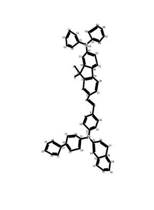 CC1(C)c2cc(/C=C/c3ccc(N(c4ccc(-c5ccccc5)cc4)c4ccc5ccccc5c4)cc3)ccc2-c2ccc(N(c3ccccc3)c3ccccc3)cc21